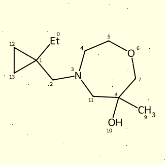 CCC1(CN2CCOCC(C)(O)C2)CC1